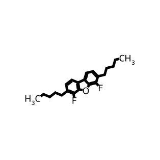 CCCCCc1ccc2c(oc3c(F)c(CCCCC)ccc32)c1F